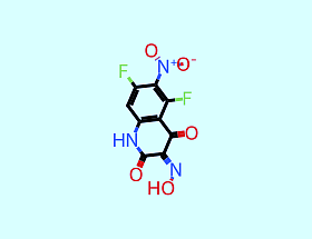 O=C1Nc2cc(F)c([N+](=O)[O-])c(F)c2C(=O)C1=NO